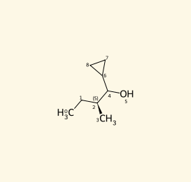 CC[C@H](C)C(O)C1CC1